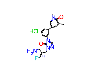 Cc1cc(-c2cccc(-n3cnn(C/C(=C/F)CN)c3=O)c2)cn(C)c1=O.Cl